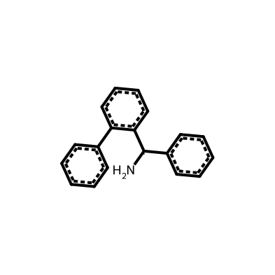 N[C](c1ccccc1)c1ccccc1-c1ccccc1